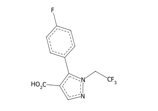 O=C(O)c1cnn(CC(F)(F)F)c1-c1ccc(F)cc1